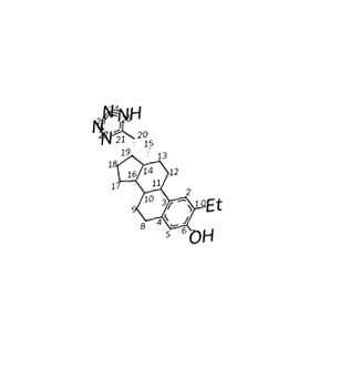 CCc1cc2c(cc1O)CCC1C2CC[C@@]2(C)C1CC[C@@H]2Cc1nnn[nH]1